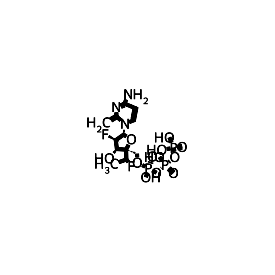 C=C1N=C(N)C=CN1[C@@H]1O[C@@](COP(=O)(O)OP(=O)(O)OP(=O)(O)O)(C(C)F)[C@@H](O)[C@H]1F